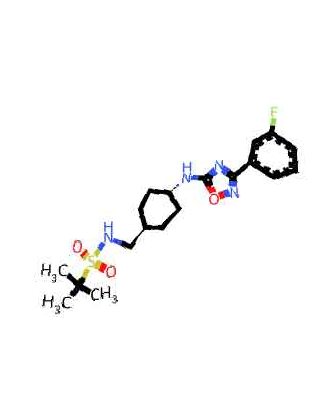 CC(C)(C)S(=O)(=O)NC[C@H]1CC[C@H](Nc2nc(-c3cccc(F)c3)no2)CC1